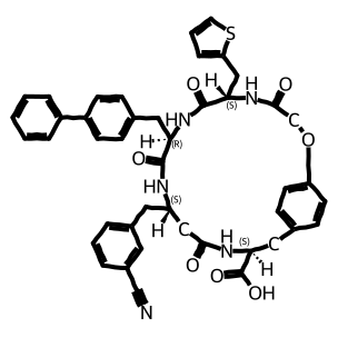 N#Cc1cccc(C[C@H]2CC(=O)N[C@H](C(=O)O)Cc3ccc(cc3)OCC(=O)N[C@@H](Cc3cccs3)C(=O)N[C@H](Cc3ccc(-c4ccccc4)cc3)C(=O)N2)c1